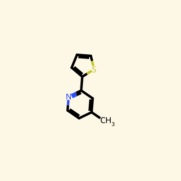 Cc1ccnc(-c2cccs2)c1